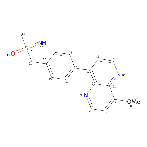 COc1ccnc2c(-c3ccc(CS(C)(=N)=O)cc3)ccnc12